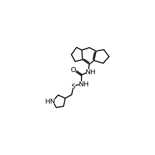 O=C(NSCC1CCNC1)NC1=C2CCCC2CC2=C1CCC2